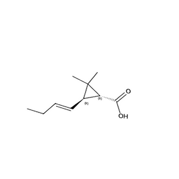 CCC=C[C@@H]1[C@@H](C(=O)O)C1(C)C